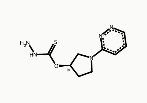 NNC(=S)O[C@@H]1CCN(c2cccnn2)C1